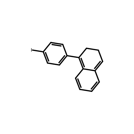 Ic1ccc(C2=c3ccccc3=CCC2)cc1